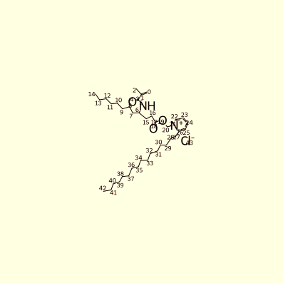 C=C(C)C(=O)NC(CCCCCCCC)CCC(=O)OC[n+]1ccccc1CCCCCCCCCCCCCCCC.[Cl-]